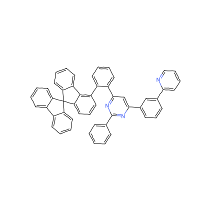 c1ccc(-c2nc(-c3cccc(-c4ccccn4)c3)cc(-c3ccccc3-c3cccc4c3-c3ccccc3C43c4ccccc4-c4ccccc43)n2)cc1